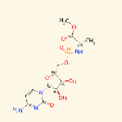 COC(=O)[C@H](C)N[PH](=O)OC[C@H]1O[C@@H](n2ccc(N)nc2=O)[C@H](O)[C@@H]1O